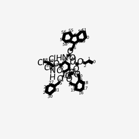 C=CCOC(=O)O[C@H]1[C@H](OP2(=O)OCc3ccccc3CO2)[C@@H](COCc2ccccc2)OC(OC(=N)C(Cl)(Cl)Cl)[C@@H]1NC(=O)OCC1c2ccccc2-c2ccccc21